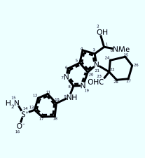 CNC(O)c1cc2cnc(Nc3ccc([S+](N)[O-])cc3)nc2n1C1(C=O)CCCCC1